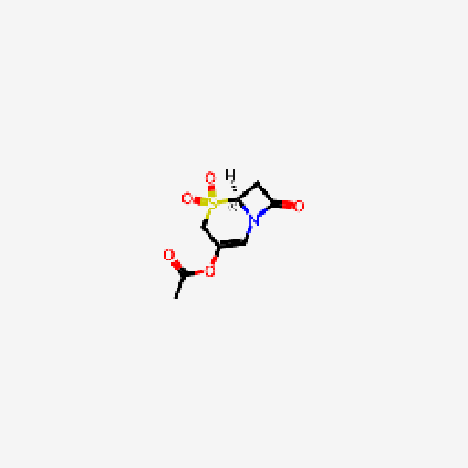 CC(=O)OC1=CN2C(=O)C[C@@H]2S(=O)(=O)C1